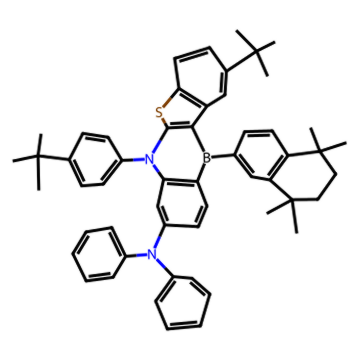 CC(C)(C)c1ccc(N2c3cc(N(c4ccccc4)c4ccccc4)ccc3B(c3ccc4c(c3)C(C)(C)CCC4(C)C)c3c2sc2ccc(C(C)(C)C)cc32)cc1